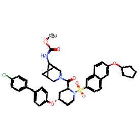 CC(C)(C)OC(=O)NC1C2CN(C(=O)[C@@H]3C[C@@H](Oc4ccc(-c5ccc(Cl)cc5)cc4)CCN3S(=O)(=O)c3ccc4cc(OC5CCCC5)ccc4c3)CC3CC321